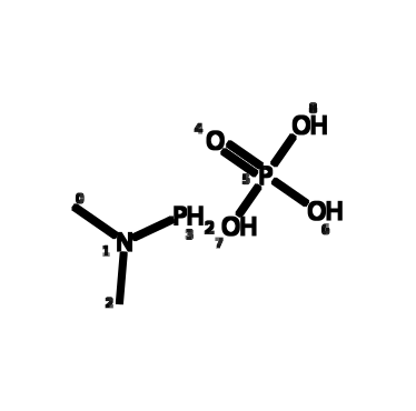 CN(C)P.O=P(O)(O)O